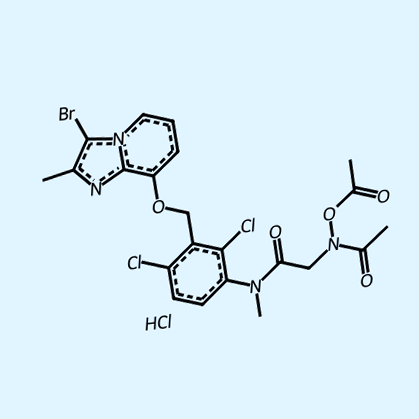 CC(=O)ON(CC(=O)N(C)c1ccc(Cl)c(COc2cccn3c(Br)c(C)nc23)c1Cl)C(C)=O.Cl